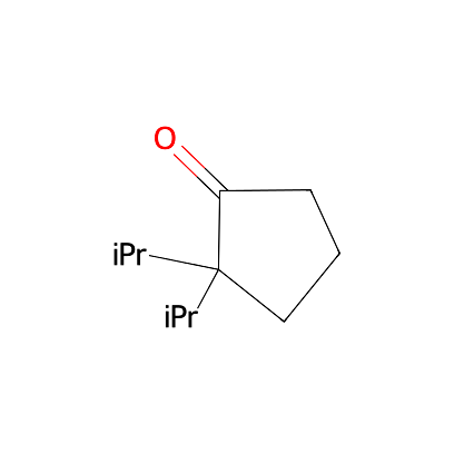 CC(C)C1(C(C)C)CCCC1=O